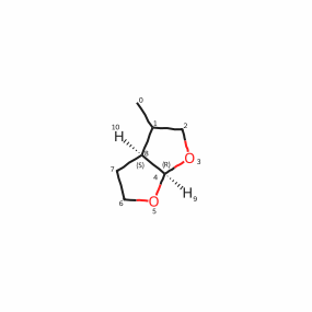 CC1CO[C@H]2OCC[C@@H]12